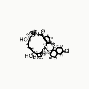 C[C@H]1[C@@H](O)C/C=C/[C@H](O)[C@@H]2CC[C@H]2CN2C[C@@]3(CCCc4cc(Cl)ccc43)COc3ccc(cc32)C(=O)NS1(=O)=O